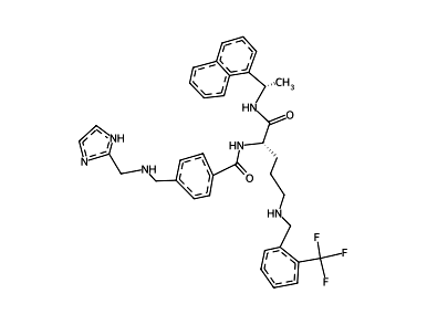 C[C@H](NC(=O)[C@H](CCCNCc1ccccc1C(F)(F)F)NC(=O)c1ccc(CNCc2ncc[nH]2)cc1)c1cccc2ccccc12